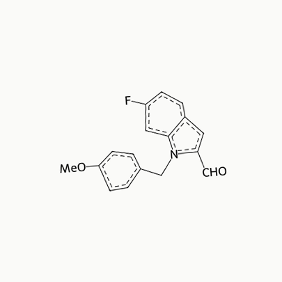 COc1ccc(Cn2c(C=O)cc3ccc(F)cc32)cc1